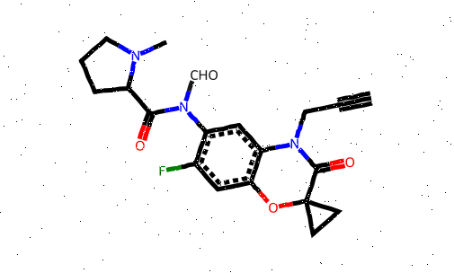 C#CCN1C(=O)C2(CC2)Oc2cc(F)c(N(C=O)C(=O)C3CCCN3C)cc21